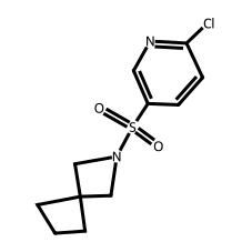 O=S(=O)(c1ccc(Cl)nc1)N1CC2(CCC2)C1